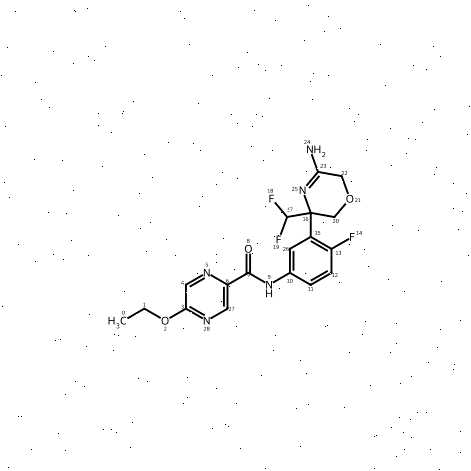 CCOc1cnc(C(=O)Nc2ccc(F)c(C3(C(F)F)COCC(N)=N3)c2)cn1